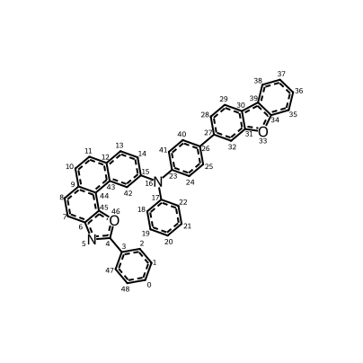 c1ccc(-c2nc3ccc4ccc5ccc(N(c6ccccc6)c6ccc(-c7ccc8c(c7)oc7ccccc78)cc6)cc5c4c3o2)cc1